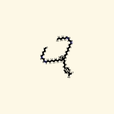 CCCCC/C=C\C/C=C\CCCCCCCCC(CCCCCCCC/C=C\C/C=C\CCCCC)(CCCCN1CCN(C(C)C)CC1)OC